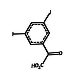 O=C(O)C(=O)c1cc(I)cc(I)c1